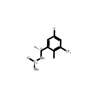 Cc1c([C@@H](C)N[S@+]([O-])C(C)(C)C)cc(F)cc1C(F)(F)F